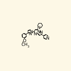 CCOc1cccc(-c2ccn(-c3cc(N4CCCCC4)n4nc(-c5ccncc5)cc4n3)n2)c1